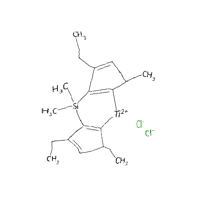 CCC1=CC(C)[C]2=C1[Si](C)(C)C1=[C]([Ti+2]2)C(C)C=C1CC.[Cl-].[Cl-]